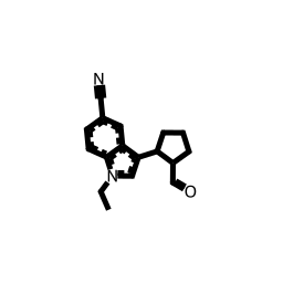 CCn1cc(C2CCCC2C=O)c2cc(C#N)ccc21